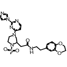 CS(=O)(=O)N1CCN(c2ccnc(-n3ccnc3)n2)CC1CC(=O)NCCc1ccc2c(c1)OCCO2